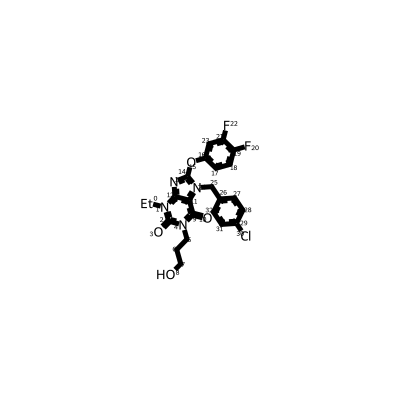 CCn1c(=O)n(CCCO)c(=O)c2c1nc(Oc1ccc(F)c(F)c1)n2Cc1ccc(Cl)cc1